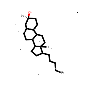 CC[C@]1(O)CCC2C(CCC3C2CCC2(C)C(CCCCC(C)C)CCC32)C1